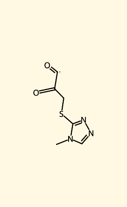 Cn1cnnc1SCC(=O)[C]=O